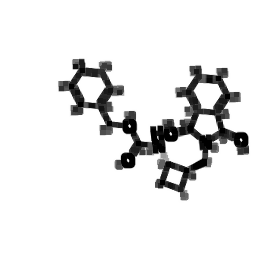 O=C(N[C@H]1CC[C@@H]1CN1C(=O)c2ccccc2C1=O)OCc1ccccc1